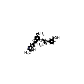 COc1cc(OCc2nc(-c3cccc(CO)c3)sc2C)c2cc(-c3c[nH]c(/C=C\C(C)=N)n3)oc2c1